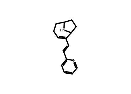 C(=Cc1ccccn1)C1=CCCC2CCC1N2